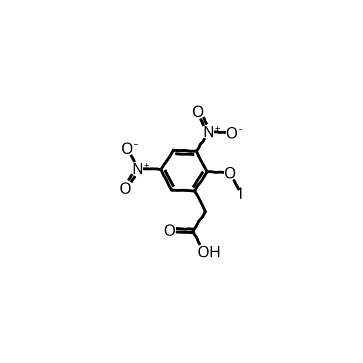 O=C(O)Cc1cc([N+](=O)[O-])cc([N+](=O)[O-])c1OI